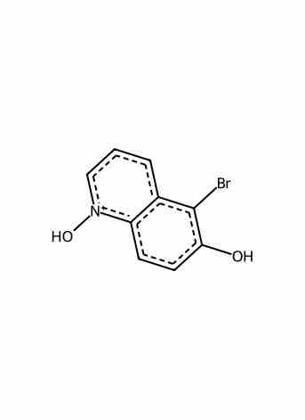 Oc1ccc2c(ccc[n+]2O)c1Br